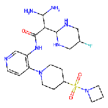 NC(N)C(C(=O)Nc1cnccc1N1CCC(S(=O)(=O)N2CCC2)CC1)C1NCC(F)CN1